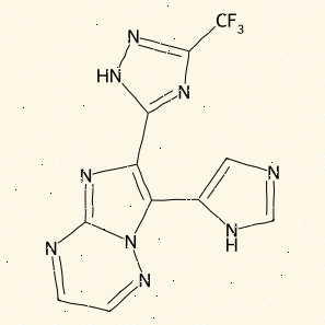 FC(F)(F)c1n[nH]c(-c2nc3nccnn3c2-c2cnc[nH]2)n1